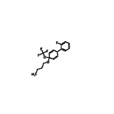 CCCCOC1(OC(F)(F)F)C=CC(c2ccccc2F)C=C1